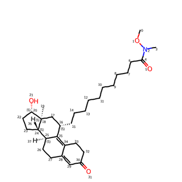 CON(C)C(=O)CCCCCCCCCC[C@H]1C[C@]2(C)[C@@H](O)CC[C@H]2[C@@H]2CCC3=CC(=O)CCC3=C12